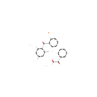 COC(=O)C(=O)c1ccccc1.Cc1cc(C)c(C(=O)c2ccccc2P=O)c(C)c1